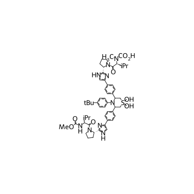 COC(=O)N[C@H](C(=O)N1CCC[C@H]1c1nc(-c2ccc(C3CS(O)(O)CC(c4ccc(-c5c[nH]c([C@@H]6CCCN6C(=O)[C@H](C(C)C)N(C)C(=O)O)n5)cc4)N3c3ccc(C(C)(C)C)cc3)cc2)c[nH]1)C(C)C